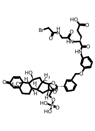 C[C@]12C=CC(=O)C=C1CC[C@@H]1[C@@H]2[C@@H](O)C[C@@]2(C)[C@H]1C[C@H]1O[C@@H](c3cccc(COc4cccc(NC(=O)[C@H](CCC(=O)O)NC(=O)CNC(=O)CBr)c4)c3)O[C@]12C(=O)COP(=O)(O)O